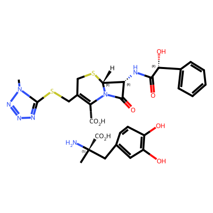 C[C@](N)(Cc1ccc(O)c(O)c1)C(=O)O.Cn1nnnc1SCC1=C(C(=O)O)N2C(=O)[C@@H](NC(=O)[C@H](O)c3ccccc3)[C@H]2SC1